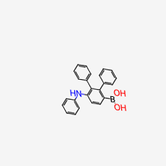 OB(O)c1ccc(Nc2ccccc2)c(-c2ccccc2)c1-c1ccccc1